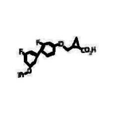 CC(C)Oc1cc(F)cc(-c2ccc(OCC3CC3C(=O)O)cc2F)c1